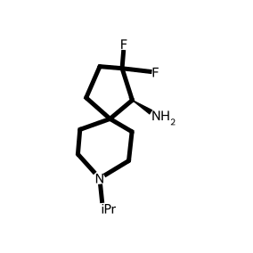 CC(C)N1CCC2(CC1)CCC(F)(F)[C@H]2N